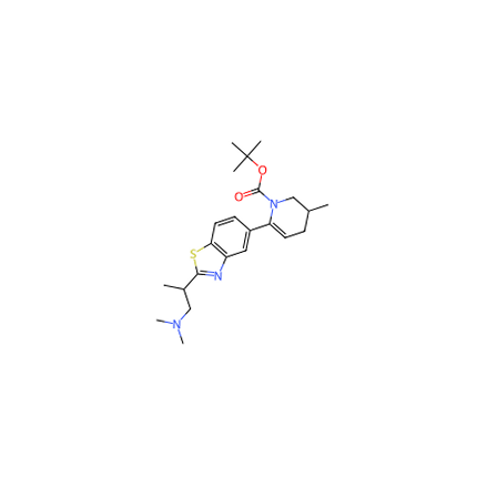 CC1CC=C(c2ccc3sc(C(C)CN(C)C)nc3c2)N(C(=O)OC(C)(C)C)C1